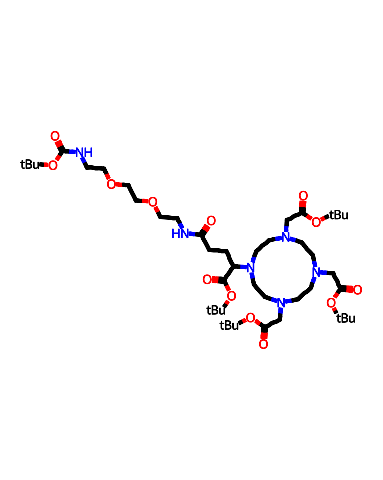 CC(C)(C)OC(=O)CN1CCN(CC(=O)OC(C)(C)C)CCN(C(CCC(=O)NCCOCCOCCNC(=O)OC(C)(C)C)C(=O)OC(C)(C)C)CCN(CC(=O)OC(C)(C)C)CC1